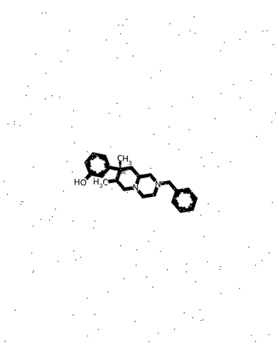 CC1CN2CCN(Cc3ccccc3)CC2C[C@@]1(C)c1cccc(O)c1